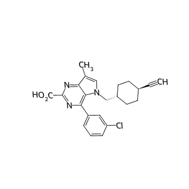 C#C[C@H]1CC[C@H](Cn2cc(C)c3nc(C(=O)O)nc(-c4cccc(Cl)c4)c32)CC1